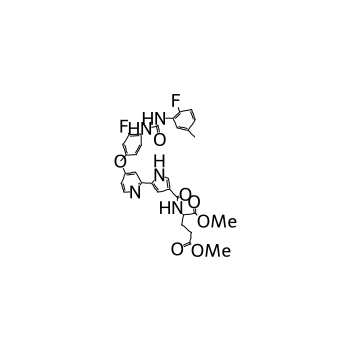 COC(=O)CCC(NC(=O)c1c[nH]c(-c2cc(Oc3ccc(NC(=O)Nc4cc(C)ccc4F)c(F)c3)ccn2)c1)C(=O)OC